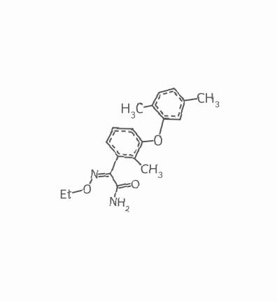 CCO/N=C(\C(N)=O)c1cccc(Oc2cc(C)ccc2C)c1C